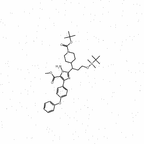 COC(=O)c1c(-c2ccc(Oc3ccccc3)cc2)nc(C(CCO[Si](C)(C)C(C)(C)C)C2CCN(C(=O)OC(C)(C)C)CC2)n1N